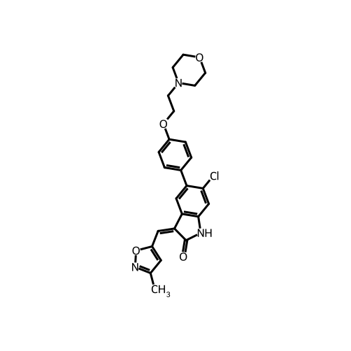 Cc1cc(/C=C2\C(=O)Nc3cc(Cl)c(-c4ccc(OCCN5CCOCC5)cc4)cc32)on1